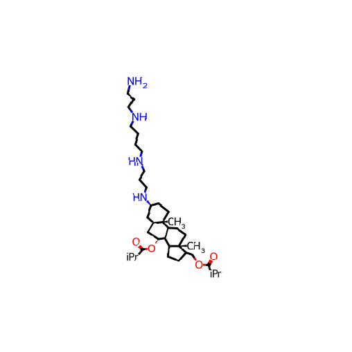 CC(C)C(=O)OCC1CCC2C3C(CC[C@]12C)[C@@]1(C)CC[C@H](NCCCNCCCCNCCCN)CC1C[C@H]3OC(=O)C(C)C